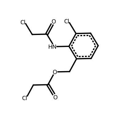 O=C(CCl)Nc1c(Cl)cccc1COC(=O)CCl